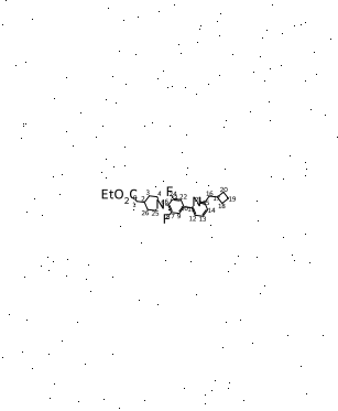 CCOC(=O)CC1CCN(c2c(F)cc(-c3cccc(CC4CCC4)n3)cc2F)CC1